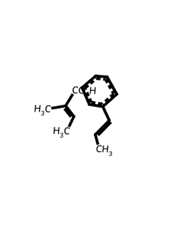 CC=C(C)C(=O)O.CC=Cc1ccccc1